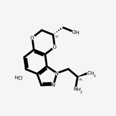 C[C@@H](N)Cn1ncc2ccc3c(c21)O[C@@H](CO)CO3.Cl